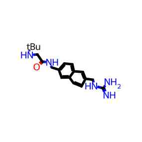 CC(C)(C)NCC(=O)NCc1ccc2cc(CNC(=N)N)ccc2c1